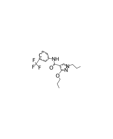 CCCOc1nn(CCC)cc1C(=O)Nc1cccc(C(F)(F)F)c1